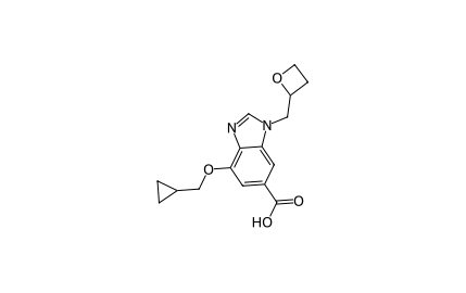 O=C(O)c1cc(OCC2CC2)c2ncn(CC3CCO3)c2c1